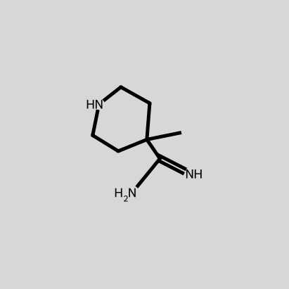 CC1(C(=N)N)CCNCC1